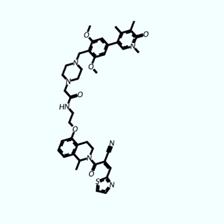 COc1cc(-c2cn(C)c(=O)c(C)c2C)cc(OC)c1CN1CCN(CC(=O)NCCOc2cccc3c2CCN(C(=O)/C(C#N)=C\c2nccs2)C3C)CC1